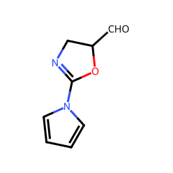 O=CC1CN=C(n2cccc2)O1